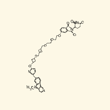 Cn1c2ccncc2c2ccc(-c3ccc(OC4CC(OCC56CC(COCCOCCOc7ccc8c(c7)C(=O)N(C7CCC(=O)NC7=O)C8=O)(C5)C6)C4)nc3)cc21